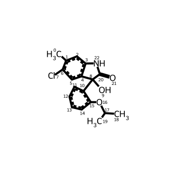 Cc1cc2c(cc1Cl)C(O)(c1ccccc1OC(C)C)C(=O)N2